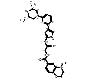 CC(C)N1CCOc2ccc(C(=O)NCC(=O)Nc3nc(-c4cccc(N5C[C@@H](C)O[C@@H](C)C5)n4)cs3)cc21